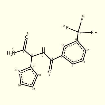 NC(=O)C(NC(=O)c1cccc(C(F)(F)F)c1)c1cccs1